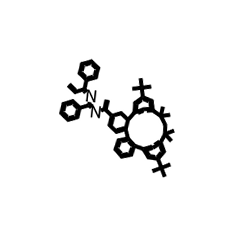 C=C/C(=N\C(=N/C(=C)C1=CC=C2c3ccccc3-c3cc(C(C)(C)C)cc(c3)C(C)(C)CC(C)(C)c3cc(cc(C(C)(C)C)c3)C2C1)c1ccccc1)c1ccccc1